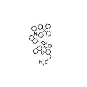 C=C/C=C\c1ccc2c(c1)Oc1c(ccc3ccccc13)C21c2ccccc2-c2ccc(-c3ccc4cccc(N(c5ccccc5)c5cccc6c5-c5ccccc5C6(C5=CC=CCC5)c5ccccc5)c4c3)cc21